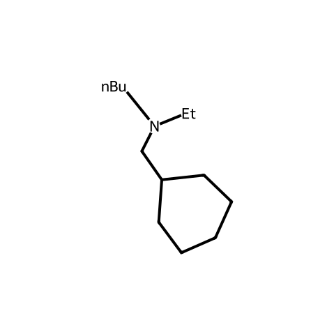 CCCCN(CC)CC1CCCCC1